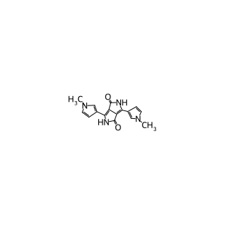 Cn1ccc(C2=C3C(=O)NC(c4ccn(C)c4)=C3C(=O)N2)c1